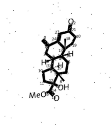 C=C1C[C@@H]2[C@@H](CC[C@@]3(C)[C@H]2CCC3(O)C(=O)OC)[C@@]2(C)CCC(=O)C=C12